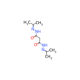 CC(C)=NNC(=O)CC(=O)NN=C(C)C